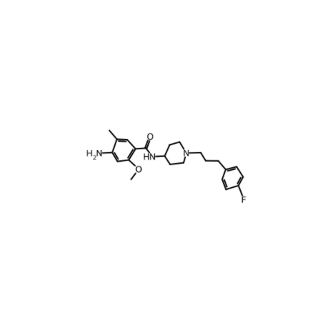 COc1cc(N)c(C)cc1C(=O)NC1CCN(CCCc2ccc(F)cc2)CC1